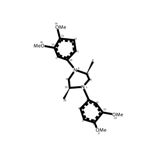 COc1ccc(N2C[C@H](C)N(c3ccc(OC)c(OC)c3)C[C@@H]2C)cc1OC